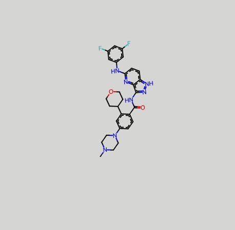 CN1CCN(c2ccc(C(=O)Nc3n[nH]c4ccc(Nc5cc(F)cc(F)c5)nc34)c(C3CCOCC3)c2)CC1